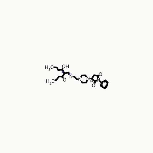 CCCC(=O)C(/C=N/CCN1CCN([C@H]2CC(=O)N(c3ccccc3)C2=O)CC1)=C(/O)CCC